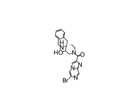 O=C(c1cn2cc(Br)ncc2n1)N1CC[C@]2(Cc3ccccc3CN2)[C@H](O)C1